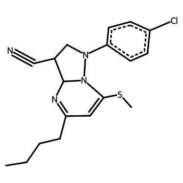 CCCCC1=NC2C(C#N)CN(c3ccc(Cl)cc3)N2C(SC)=C1